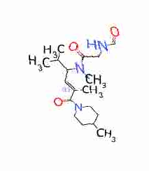 C/C(=C\C(C(C)C)N(C)C(=O)CNC=O)C(=O)N1CCC(C)CC1